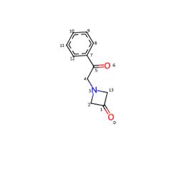 O=C1CN(CC(=O)c2ccccc2)C1